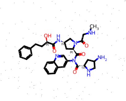 CNCC(=O)N1C[C@@H](NC(=O)[C@H](O)CCc2ccccc2)C[C@@H]1C(=O)N(C(=O)[C@@H]1CC(N)CN1)c1cnc2ccccc2c1